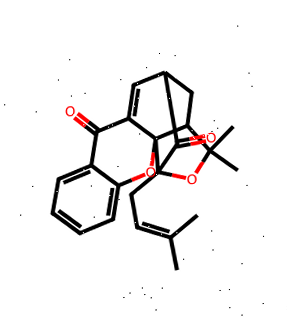 CC(C)=CCC12OC(C)(C)C3CC(C=C4C(=O)c5ccccc5OC431)C2=O